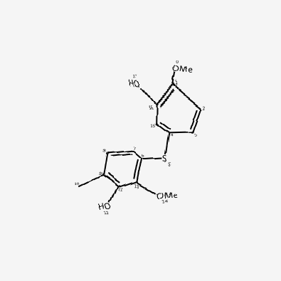 COc1ccc(Sc2ccc(C)c(O)c2OC)cc1O